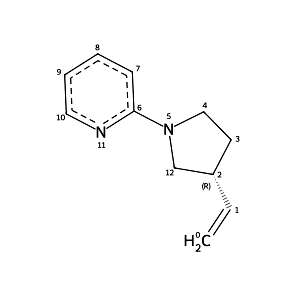 C=C[C@H]1CCN(c2ccccn2)C1